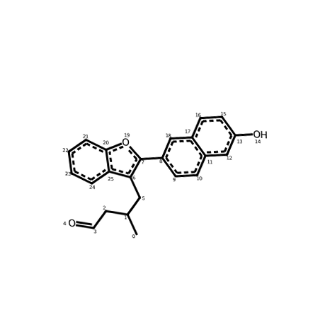 CC(CC=O)Cc1c(-c2ccc3cc(O)ccc3c2)oc2ccccc12